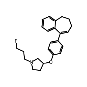 FCCCN1CC[C@H](Oc2ccc(C3=CCCCc4c[c]ccc43)cc2)C1